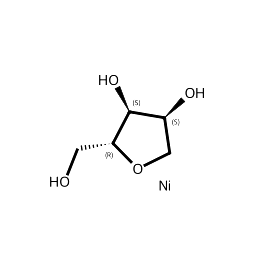 OC[C@H]1OC[C@H](O)[C@@H]1O.[Ni]